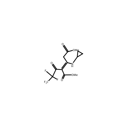 COC(=O)CC(NC1CC1)=C(C(=O)OC)C(=O)C(F)(F)C(F)(F)F